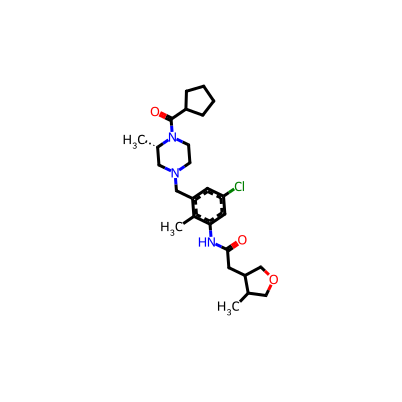 Cc1c(CN2CCN(C(=O)C3CCCC3)[C@@H](C)C2)cc(Cl)cc1NC(=O)CC1COCC1C